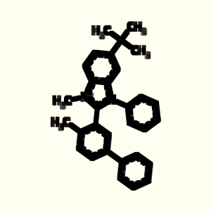 Cc1ccc(-c2ccccc2)cc1-c1n(-c2ccccc2)c2cc(C(C)(C)C)ccc2[n+]1C